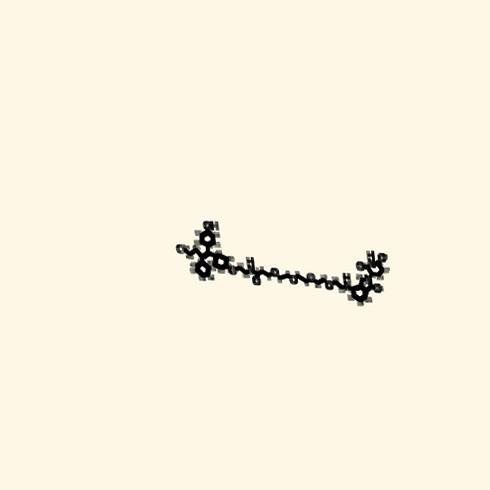 O=C(CCOCCOCCOCCOCCNc1cccc2c1CN(C1CCC(=O)NC1=O)C2=O)NCCOc1ccc(C(=C(CCCl)c2ccccc2)c2ccc(O)cc2)cc1